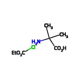 CC(C)(N)C(=O)O.CCOC(=O)Cl